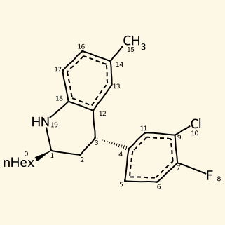 CCCCCC[C@@H]1C[C@@H](c2ccc(F)c(Cl)c2)c2cc(C)ccc2N1